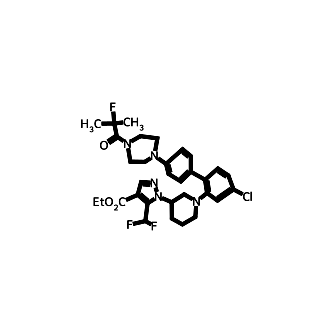 CCOC(=O)c1cnn(C2CCCN(c3cc(Cl)ccc3-c3ccc(N4CCN(C(=O)C(C)(C)F)CC4)cc3)C2)c1C(F)F